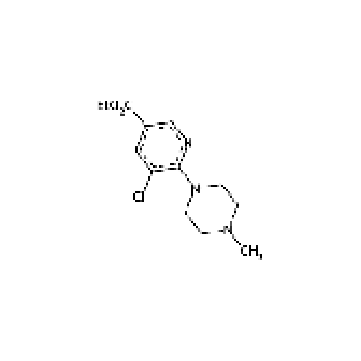 CCOC(=O)c1cnc(N2CCN(C)CC2)c(Cl)c1